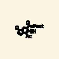 CCCCCC(=O)c1cc2c(c(C(C)=O)c1S)C=CC2=O